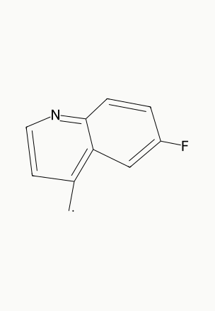 [CH2]c1ccnc2ccc(F)cc12